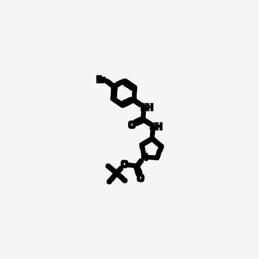 CC(C)(C)OC(=O)N1CCC(NC(=O)Nc2ccc(Br)cc2)C1